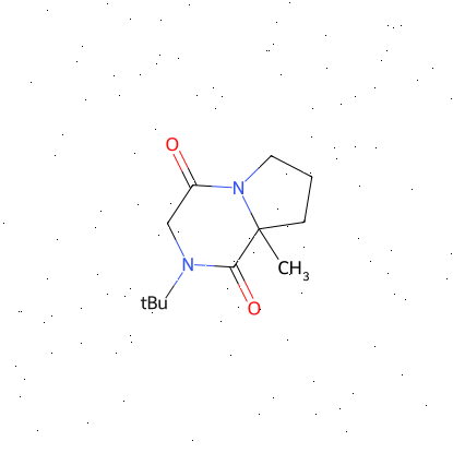 CC(C)(C)N1CC(=O)N2CCCC2(C)C1=O